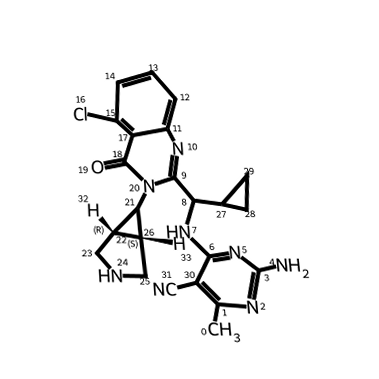 Cc1nc(N)nc(NC(c2nc3cccc(Cl)c3c(=O)n2C2[C@H]3CNC[C@@H]23)C2CC2)c1C#N